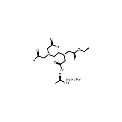 CC(=O)O.CCOC(=O)CN(CCN(CC(=O)[O-])CC(=O)[O-])CC(=O)[O-].[Na+].[Na+].[Na+]